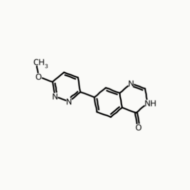 COc1ccc(-c2ccc3c(=O)[nH]cnc3c2)nn1